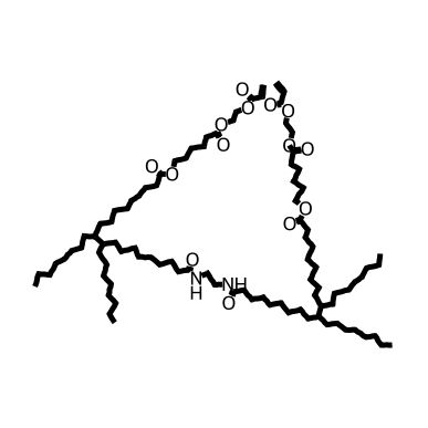 C=CC(=O)OCCOC(=O)CCCCCOC(=O)CCCCCCCCC(CCCCCCCC)C(CCCCCCCC)CCCCCCCCC(=O)NCCNC(=O)CCCCCCCCC(CCCCCCCC)C(CCCCCCCC)CCCCCCCCC(=O)OCCCCCC(=O)OCCOC(=O)C=C